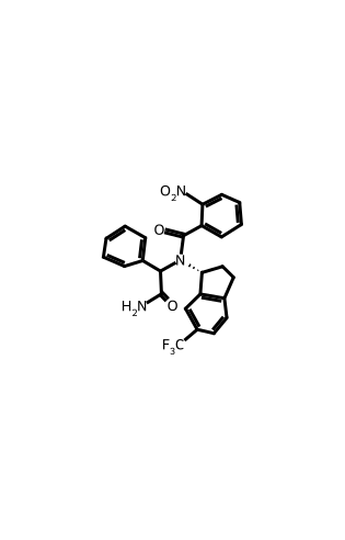 NC(=O)C(c1ccccc1)N(C(=O)c1ccccc1[N+](=O)[O-])[C@@H]1CCc2ccc(C(F)(F)F)cc21